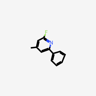 Cc1cc(F)nc(-c2ccccc2)c1